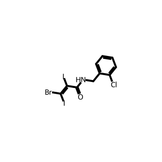 O=C(NCc1ccccc1Cl)C(I)=C(Br)I